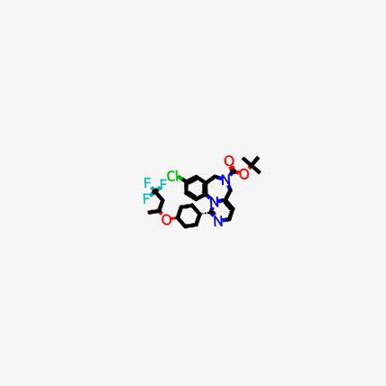 CC(CC(F)(F)F)O[C@H]1CC[C@H](C2=NCC=C3CN(C(=O)OC(C)(C)C)Cc4cc(Cl)ccc4N32)CC1